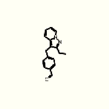 CCc1nn2ccccc2c1Cc1ccc(C=O)cc1